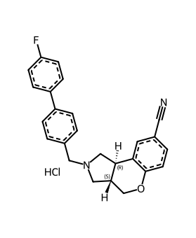 Cl.N#Cc1ccc2c(c1)[C@@H]1CN(Cc3ccc(-c4ccc(F)cc4)cc3)C[C@H]1CO2